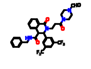 O=CN1CCN(C(=O)CCN2C(=O)c3ccccc3C(C(=O)NCc3ccccc3)C2c2cc(C(F)(F)F)cc(C(F)(F)F)c2)CC1